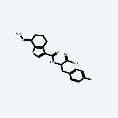 NC(=O)C(Cc1ccc(F)cc1)NC(=O)c1csc2c1CCCC2=NO